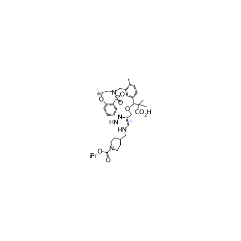 Cc1ccc(C(OC/C(=C/NCC2CCN(C(=O)OC(C)C)CC2)N=N)C(C)(C)C(=O)O)cc1CN1C[C@@H](C)Oc2ccccc2S1(=O)=O